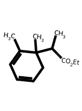 CCOC(=O)C(C)C1(C)CC=CC=C1C